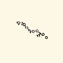 Nc1ncnc2c1c(-c1ccc(Oc3ccccc3)cc1)nn2C1CCCN(C2CCN(C(=O)N3CC(N4CCN(c5ccc6c(c5)CN(C5CCC(=O)NC5=O)C6=O)CC4)C3)CC2)C1